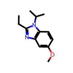 CCc1nc2cc(OC)ccc2n1C(C)C